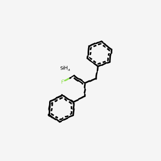 FC=C(Cc1ccccc1)Cc1ccccc1.[SiH4]